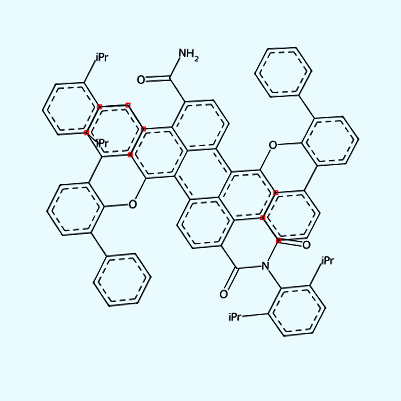 CC(C)c1cccc(C(C)C)c1Cc1cc(Oc2c(-c3ccccc3)cccc2-c2ccccc2)c2c3ccc4c5c(cc(Oc6c(-c7ccccc7)cccc6-c6ccccc6)c(c6ccc(C(N)=O)c1c62)c53)C(=O)N(c1c(C(C)C)cccc1C(C)C)C4=O